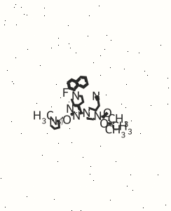 CN1CCC[C@H]1COc1nc2c(c(N3CCN(C(=O)OC(C)(C)C)C(CC#N)C3)n1)CCN(c1c(F)ccc3ccccc13)C2